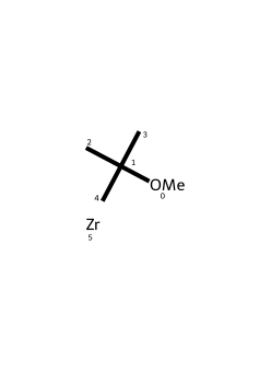 COC(C)(C)C.[Zr]